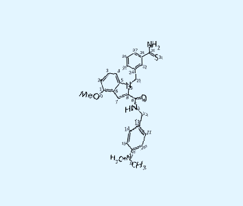 COc1cccc2c1cc(C(=O)NCc1ccc(N(C)C)cc1)n2Cc1cccc(C(N)=S)c1